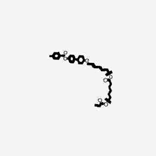 C=CC(=O)OC(C)(C)CCCCCC(=O)OC(C)(C)CCCCCCOC1CCC(c2ccc(OC(=O)c3ccc(C)cc3)cc2)CC1